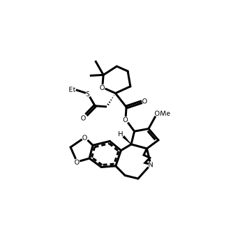 CCSC(=O)C[C@@]1(C(=O)OC2C(OC)=CC34CCCN3CCc3cc5c(cc3[C@H]24)OCO5)CCCC(C)(C)O1